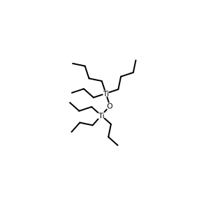 CCC[CH2][Ti]([CH2]CC)([CH2]CCC)[O][Ti]([CH2]CC)([CH2]CC)[CH2]CC